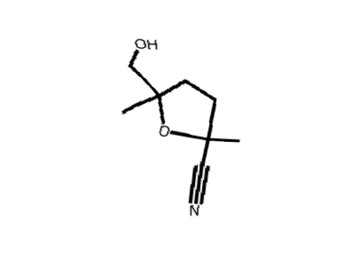 CC1(C#N)CCC(C)(CO)O1